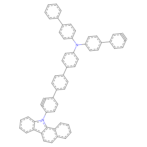 c1ccc(-c2ccc(N(c3ccc(-c4ccccc4)cc3)c3ccc(-c4ccc(-c5c#cc(-n6c7ccccc7c7ccc8ccccc8c76)cc5)cc4)cc3)cc2)cc#1